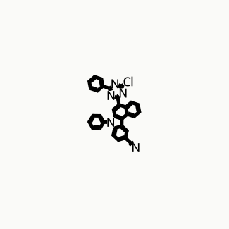 N#Cc1ccc2c(c1)c1c3ccccc3c(-c3nc(Cl)nc(-c4ccccc4)n3)cc1n2-c1ccccc1